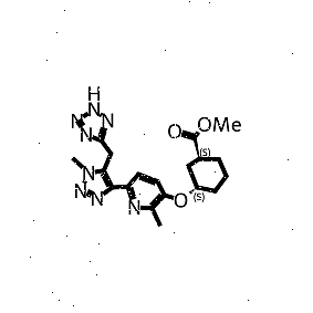 COC(=O)[C@H]1CCC[C@H](Oc2ccc(-c3nnn(C)c3Cc3nn[nH]n3)nc2C)C1